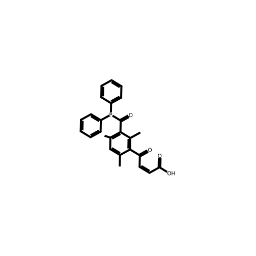 Cc1cc(C)c(C(=O)P(c2ccccc2)c2ccccc2)c(C)c1C(=O)/C=C\C(=O)O